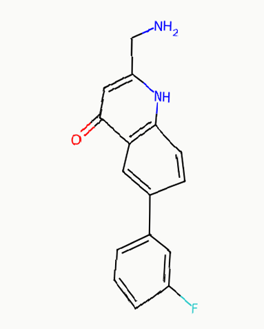 NCc1cc(=O)c2cc(-c3cccc(F)c3)ccc2[nH]1